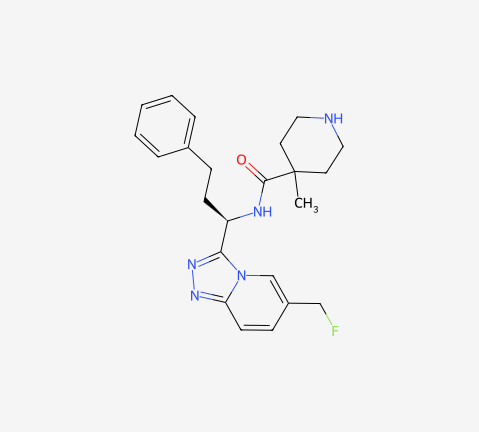 CC1(C(=O)N[C@H](CCc2ccccc2)c2nnc3ccc(CF)cn23)CCNCC1